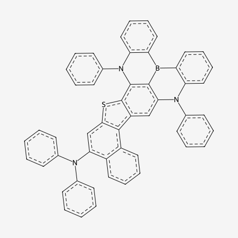 c1ccc(N2c3ccccc3B3c4ccccc4N(c4ccccc4)c4c3c2cc2c4sc3cc(N(c4ccccc4)c4ccccc4)c4ccccc4c32)cc1